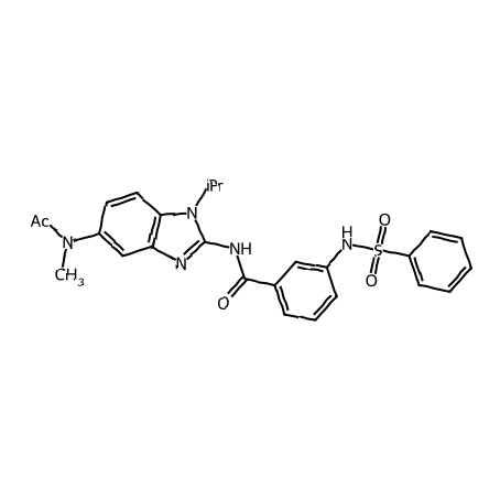 CC(=O)N(C)c1ccc2c(c1)nc(NC(=O)c1cccc(NS(=O)(=O)c3ccccc3)c1)n2C(C)C